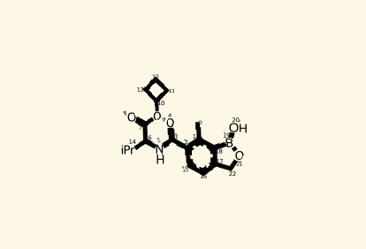 Cc1c(C(=O)NC(C(=O)OC2CCC2)C(C)C)ccc2c1B(O)OC2